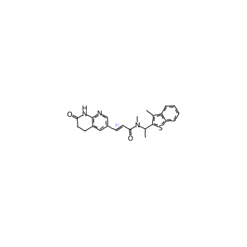 Cc1c(C(C)N(C)C(=O)/C=C/c2cnc3c(c2)CCC(=O)N3)sc2ccccc12